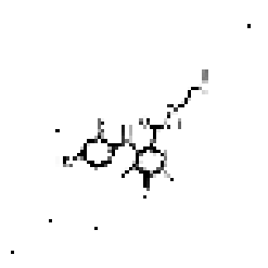 COCCONC(=O)c1nn(C)c(=O)c(C)c1Nc1ccc(S)cc1F